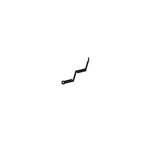 O=CC=CI